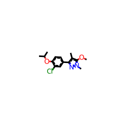 COc1c(C)c(-c2ccc(OC(C)C)c(Cl)c2)nn1C